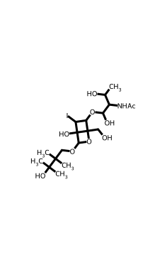 CC(=O)NC(C(C)O)C(O)OC1C(I)C2(O)C(OCC(C)(C)C(C)(C)O)OC12CO